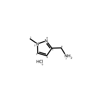 Cl.Cn1ccc(CN)n1